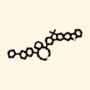 CC1(C)c2ccc(-c3ccccccc(-c4ccc5cc(-c6ccccc6)ccc5c4)c4c3=CCCC=4)cc2-c2cc3cc4oc5ccccc5c4cc3cc21